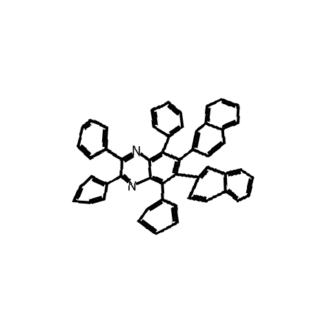 c1ccc(-c2nc3c(-c4ccccc4)c(-c4ccc5ccccc5c4)c(-c4ccc5ccccc5c4)c(-c4ccccc4)c3nc2-c2ccccc2)cc1